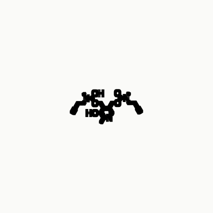 C#CCCN(C)C(=O)OCc1cnc(C)c(O)c1COC(O)N(C)CCC#C